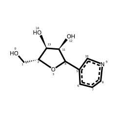 OC[C@H]1OC(c2cccnc2)[C@H](O)[C@@H]1O